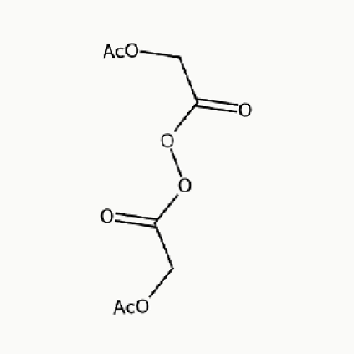 CC(=O)OCC(=O)OOC(=O)COC(C)=O